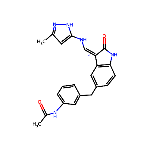 CC(=O)Nc1cccc(Cc2ccc3c(c2)/C(=C/Nc2cc(C)n[nH]2)C(=O)N3)c1